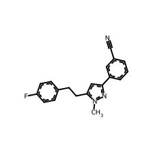 Cn1nc(-c2cccc(C#N)c2)cc1CCc1ccc(F)cc1